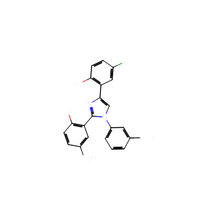 COc1ccc(O)c(-c2nc(-c3cc(F)ccc3O)cn2-c2cccc(C(=O)O)c2)c1